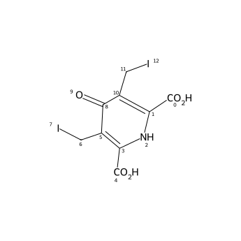 O=C(O)c1[nH]c(C(=O)O)c(CI)c(=O)c1CI